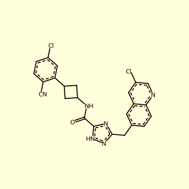 N#Cc1ccc(Cl)cc1C1CC(NC(=O)c2nc(Cc3ccc4ncc(Cl)cc4c3)n[nH]2)C1